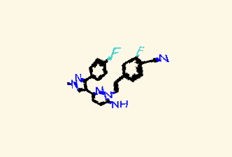 Cn1cc(-c2ccc(=N)n(/C=C/c3ccc(C#N)c(F)c3)n2)c(-c2ccc(F)cc2)n1